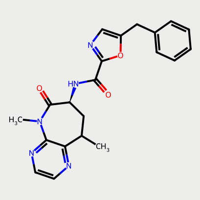 CC1C[C@H](NC(=O)c2ncc(Cc3ccccc3)o2)C(=O)N(C)c2nccnc21